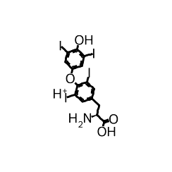 N[C@@H](Cc1cc(I)c(Oc2cc(I)c(O)c(I)c2)c(I)c1)C(=O)O.[H+]